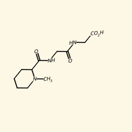 CN1CCCCC1C(=O)NCC(=O)NCC(=O)O